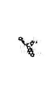 COc1cccc2c1C(=O)c1c(O)c3c(c(O)c1C2=O)C[C@@](O)(/C(CO)=N/OCC(=O)OC1C(=O)CCC1=O)C[C@@H]3OC1CC(NC(=O)C(F)(F)F)C(O)C(C)O1